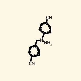 N#Cc1ccc(CN(N)c2ccc(C#N)cc2)cc1